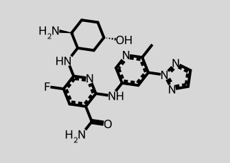 Cc1ncc(Nc2nc(NC3C[C@@H](O)CC[C@@H]3N)c(F)cc2C(N)=O)cc1-n1nccn1